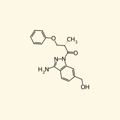 C[C@@H](COc1ccccc1)C(=O)n1nc(N)c2ccc(CO)cc21